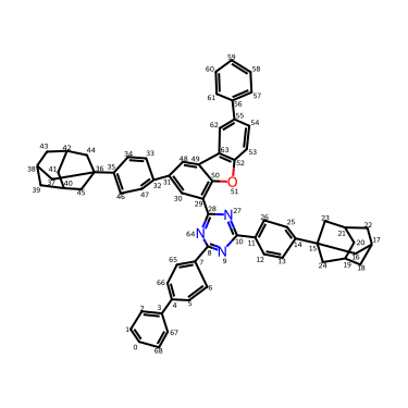 c1ccc(-c2ccc(-c3nc(-c4ccc(C56CC7CC(CC(C7)C5)C6)cc4)nc(-c4cc(-c5ccc(C67CC8CC(CC(C8)C6)C7)cc5)cc5c4oc4ccc(-c6ccccc6)cc45)n3)cc2)cc1